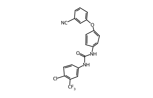 N#Cc1cccc(Oc2ccc(NC(=O)Nc3ccc(Cl)c(C(F)(F)F)c3)cc2)c1